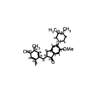 COc1cc2c(cc1N1CCN(C)C(C)C1)CC(CC1=CC(C)C(Cl)C=C1F)C2=O